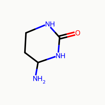 NC1CCNC(=O)N1